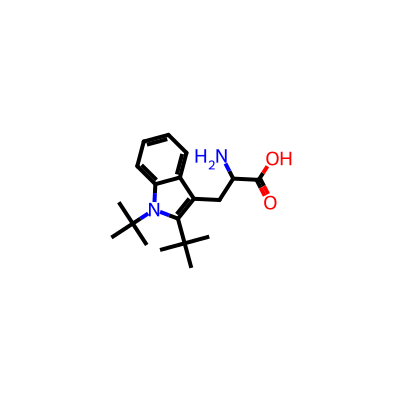 CC(C)(C)c1c(CC(N)C(=O)O)c2ccccc2n1C(C)(C)C